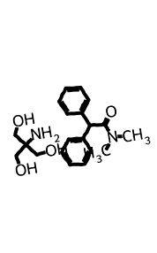 CN(C)C(=O)C(c1ccccc1)c1ccccc1.NC(CO)(CO)CO